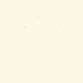 CC(C)C(C)(c1ccc(Br)cc1)c1noc(NC2CCN(C)CC2)n1